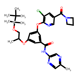 Cc1cnc(NC(=O)c2cc(Oc3ncc(C(=O)N4CCC4)cc3Cl)cc(OC(C)CO[Si](C)(C)C(C)(C)C)c2)cn1